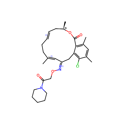 C/C1=C\C(=N/OCC(=O)N2CCCCC2)Cc2c(Cl)c(C)cc(C)c2C(=O)O[C@H](C)C/C=C/CC1